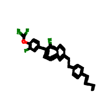 CCCCc1ccc(CCc2ccc3c(F)c(-c4ccc(OC(F)F)c(F)c4)ccc3c2)cc1